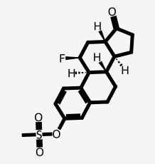 CS(=O)(=O)Oc1ccc2c(c1)CC[C@H]1[C@@H]3CCC(=O)[C@H]3C[C@H](F)[C@H]21